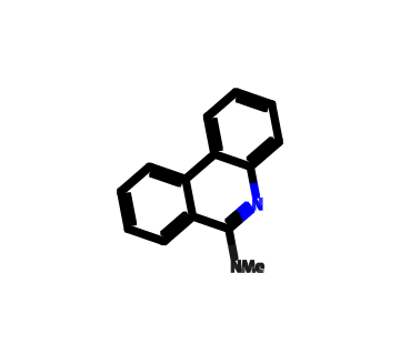 CNc1nc2ccccc2c2ccccc12